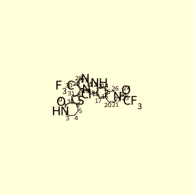 O=C1NCCCc2sc(-c3nc(Nc4cc5c(cc4Cl)CCN(C(=O)C(F)(F)F)C5)ncc3C(F)(F)F)cc21